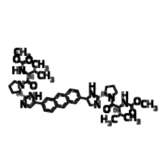 COC(=O)N[C@H](C(=O)N1CCC[C@H]1C1=NCC(c2ccc3cc4cc(-c5cnc([C@@H]6CCCN6C(=O)[C@@H](NC(=O)OC)C(C)C)[nH]5)ccc4cc3c2)N1)C(C)C